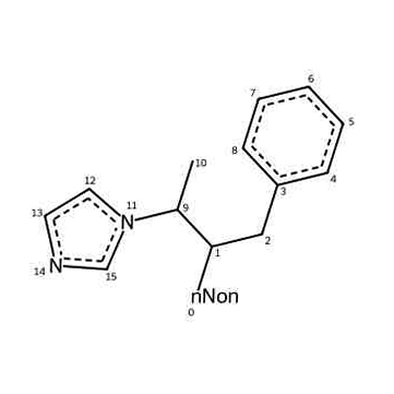 CCCCCCCCCC(Cc1ccccc1)C(C)n1ccnc1